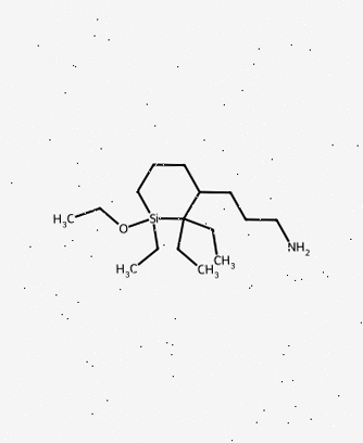 CCO[Si]1(CC)CCCC(CCCN)C1(CC)CC